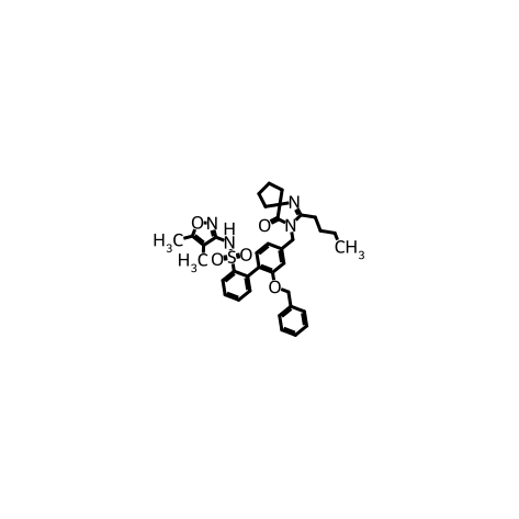 CCCCC1=NC2(CCCC2)C(=O)N1Cc1ccc(-c2ccccc2S(=O)(=O)Nc2noc(C)c2C)c(OCc2ccccc2)c1